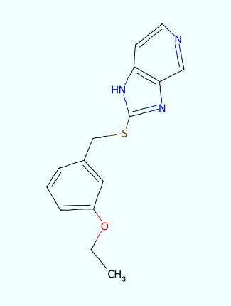 CCOc1cccc(CSc2nc3cnccc3[nH]2)c1